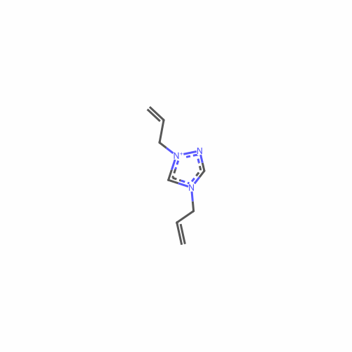 C=CCn1cn[n+](CC=C)c1